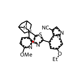 CCOc1cc(-c2nnc(N3CC4CC(C3)N4Cc3ccc(OC)nc3)s2)c2c(C#N)cnn2c1